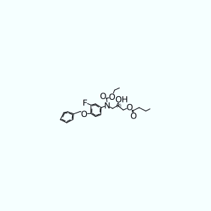 CCCC(=O)OC[C@H](O)CN(C(=O)OCC)c1ccc(OCc2ccccc2)c(F)c1